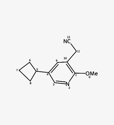 COc1ncc(C2CCC2)cc1CC#N